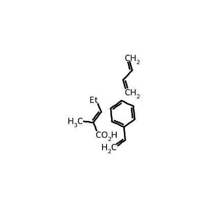 C=CC=C.C=Cc1ccccc1.CCC=C(C)C(=O)O